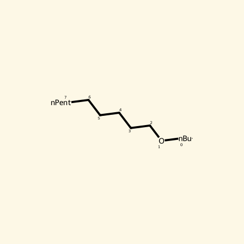 [CH2]CC[CH]OCCCCCCCCCC